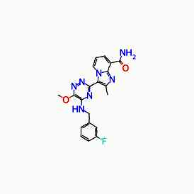 COc1nnc(-c2c(C)nc3c(C(N)=O)cccn23)nc1NCc1cccc(F)c1